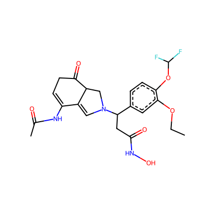 CCOc1cc(C(CC(=O)NO)N2C=C3C(NC(C)=O)=CCC(=O)C3C2)ccc1OC(F)F